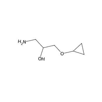 NCC(O)COC1CC1